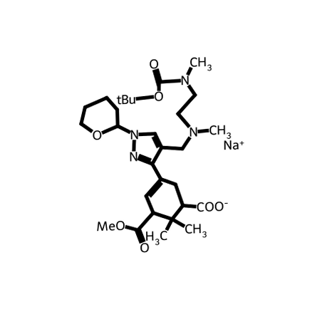 COC(=O)C1C=C(c2nn(C3CCCCO3)cc2CN(C)CCN(C)C(=O)OC(C)(C)C)CC(C(=O)[O-])C1(C)C.[Na+]